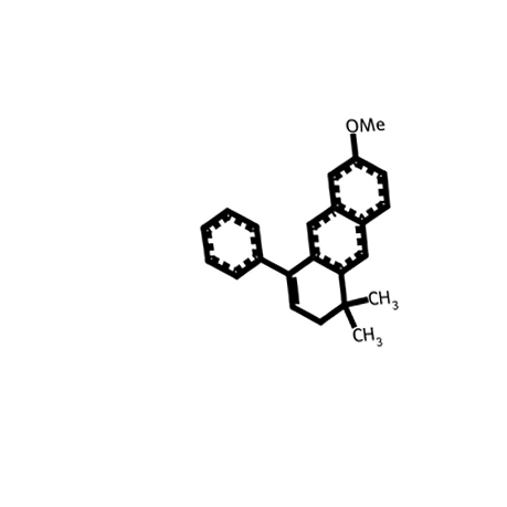 COc1ccc2cc3c(cc2c1)C(c1ccccc1)=CCC3(C)C